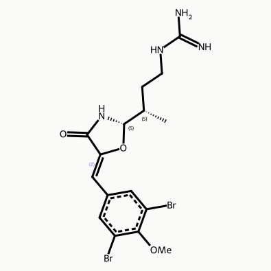 COc1c(Br)cc(/C=C2\O[C@@H]([C@@H](C)CCNC(=N)N)NC2=O)cc1Br